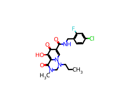 CCCN1CN(C)C(=O)c2c(O)c(=O)c(C(=O)NCc3ccc(Cl)cc3F)cn21